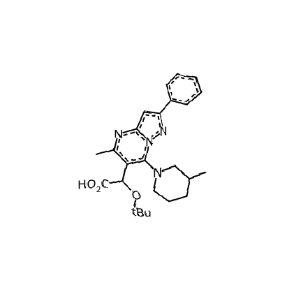 Cc1nc2cc(-c3ccccc3)nn2c(N2CCCC(C)C2)c1C(OC(C)(C)C)C(=O)O